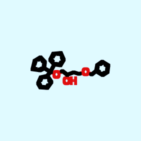 OC(CCOCc1ccccc1)COC(c1ccccc1)(c1ccccc1)c1ccccc1